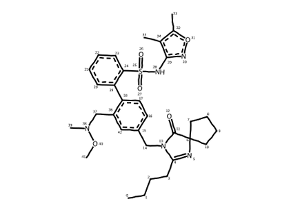 CCCCC1=NC2(CCCC2)C(=O)N1Cc1ccc(-c2ccccc2S(=O)(=O)Nc2noc(C)c2C)c(CN(C)OC)c1